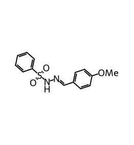 COc1ccc(C=NNS(=O)(=O)c2ccccc2)cc1